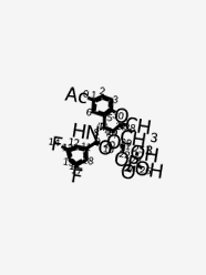 CC(=O)c1ccc2c(c1)[C@@H](NC(=O)c1cc(F)cc(F)c1)[C@@H](OCOP(=O)(O)O)C(C)(C)O2